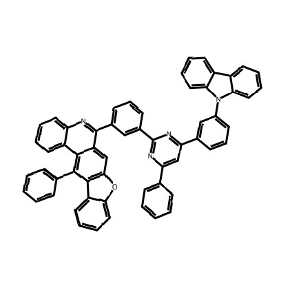 c1ccc(-c2cc(-c3cccc(-n4c5ccccc5c5ccccc54)c3)nc(-c3cccc(-c4nc5ccccc5c5c(-c6ccccc6)c6c(cc45)oc4ccccc46)c3)n2)cc1